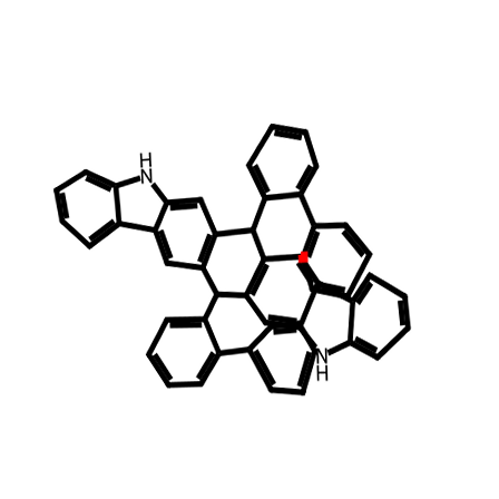 c1ccc(-c2ccccc2C2c3cc4[nH]c5ccccc5c4cc3C(c3ccccc3-c3ccccc3)c3cc4[nH]c5ccccc5c4cc32)cc1